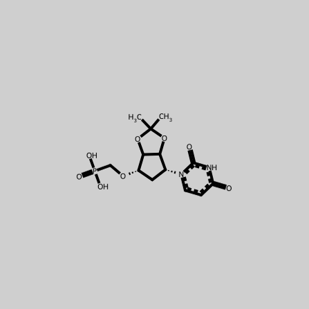 CC1(C)OC2C(O1)[C@H](n1ccc(=O)[nH]c1=O)C[C@@H]2OCP(=O)(O)O